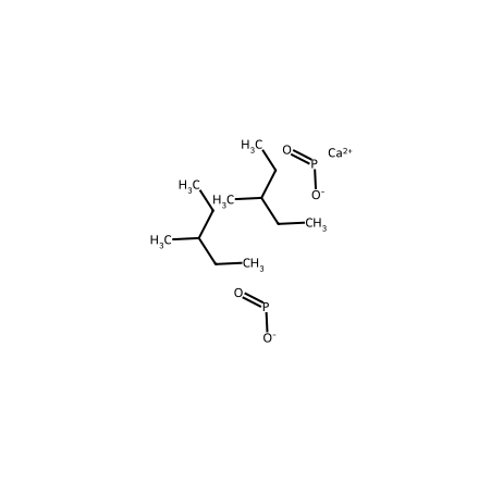 CCC(C)CC.CCC(C)CC.O=P[O-].O=P[O-].[Ca+2]